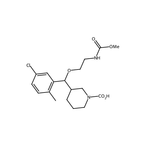 COC(=O)NCCOC(c1cc(Cl)ccc1C)C1CCCN(C(=O)O)C1